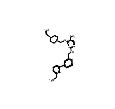 NCc1cccc(-c2cccc(CNc3ncc([N+](=O)[O-])c(NCC4CCC(CO)CC4)n3)c2)c1